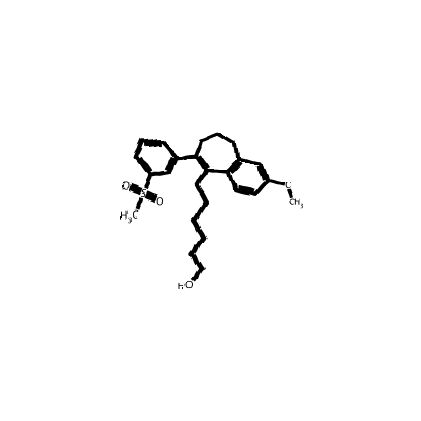 COc1ccc2c(c1)CCCC(c1cccc(S(C)(=O)=O)c1)=C2CCCCCCO